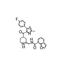 Cc1nc(C(=O)C2CCN[C@H](CNC(=O)c3cccc4ccoc34)C2)c(-c2ccc(F)cc2)s1